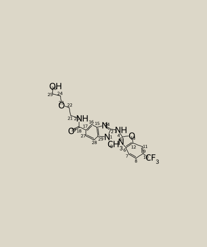 Cn1c(Nc2nc3ccc(C(F)(F)F)cc3o2)nc2cc(C(=O)NCCOCCO)ccc21